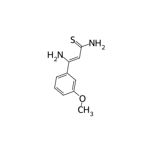 COc1cccc(C(N)=CC(N)=S)c1